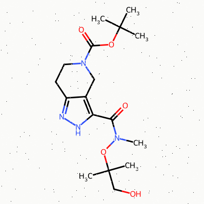 CN(OC(C)(C)CO)C(=O)c1[nH]nc2c1CN(C(=O)OC(C)(C)C)CC2